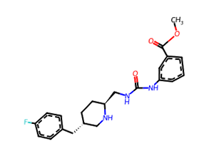 COC(=O)c1cccc(NC(=O)NC[C@@H]2CC[C@@H](Cc3ccc(F)cc3)CN2)c1